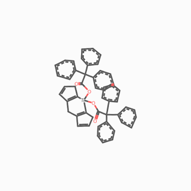 O=C([O][Ti]1([O]C(=O)C(c2ccccc2)(c2ccccc2)c2ccccc2)[C]2=C(C=CC2)CC2=[C]1CC=C2)C(c1ccccc1)(c1ccccc1)c1ccccc1